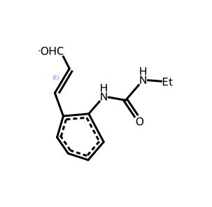 CCNC(=O)Nc1ccccc1/C=C/[C]=O